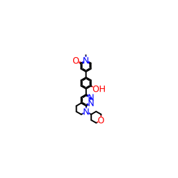 Cn1ccc(-c2ccc(-c3cc4c(nn3)N(C3CCOCC3)CCC4)c(O)c2)cc1=O